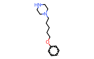 [c]1ccc(OCCCCCN2CCNCC2)cc1